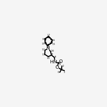 CC(C)(C)OC(=O)NCC1CCCN(c2ccccc2)C1